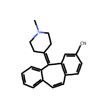 CN1CCC(=C2c3ccccc3C=Cc3ccc(C#N)cc32)CC1